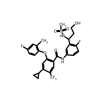 Cc1cc(F)ccc1Oc1cc(C2CC2)c(C(F)(F)F)cc1C(=O)Nc1ccc(F)c(C(CCO)NS(C)(=O)=O)c1